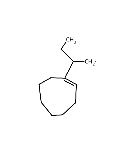 [CH2]C(CC)C1=CCCCCCC1